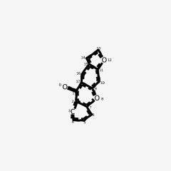 O=c1c2ccccc2oc2cc3occc3cc12